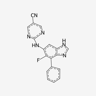 N#Cc1cnc(Nc2cc3[nH]cnc3c(-c3ccccc3)c2F)nc1